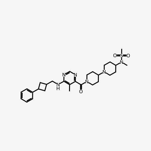 Cc1c(NCC2CC(c3ccccc3)C2)ncnc1C(=O)N1CCC(N2CCC(N(C)S(C)(=O)=O)CC2)CC1